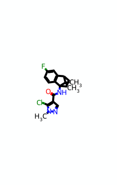 Cn1ncc(C(=O)NC23CCC(c4cc(F)ccc42)C3(C)C)c1Cl